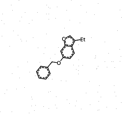 CCc1coc2cc(OCc3ccccc3)ccc12